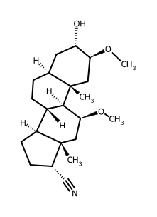 CO[C@H]1C[C@]2(C)[C@H](C#N)CC[C@H]2[C@@H]2CC[C@H]3C[C@H](O)[C@@H](OC)C[C@]3(C)[C@H]21